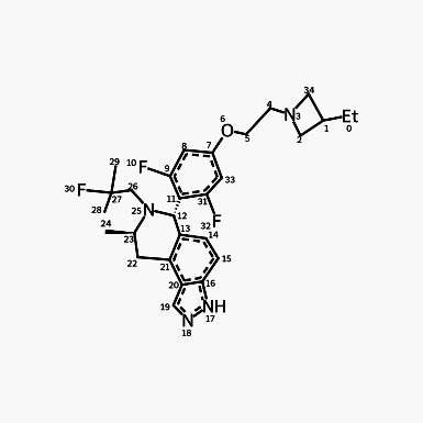 CCC1CN(CCOc2cc(F)c([C@@H]3c4ccc5[nH]ncc5c4C[C@@H](C)N3CC(C)(C)F)c(F)c2)C1